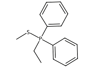 CC[P](SC)(c1ccccc1)c1ccccc1